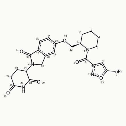 CCCc1cc(C(=O)N2CCCC[C@@H]2COc2ccc3c(c2)CN(C2CCC(=O)NC2=O)C3=O)no1